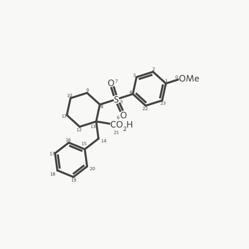 COc1ccc(S(=O)(=O)C2CCCCC2(Cc2ccccc2)C(=O)O)cc1